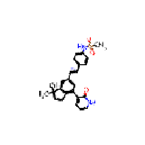 CC1(C)CCc2c(-c3ccc[nH]c3=O)cc(/C=C/c3ccc(NS(C)(=O)=O)cc3)cc21